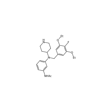 CCOc1cc(CN(c2cccc(NC(C)=O)c2)C2CCNCC2)cc(OCC)c1F